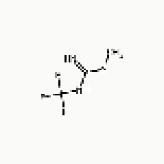 CSC(=N)NC(F)(F)F